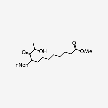 CCCCCCCCCC(CCCCCCCC(=O)OC)C(=O)C(C)O